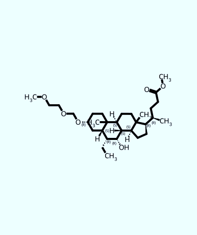 CC[C@H]1[C@@H](O)[C@H]2[C@@H]3CC[C@H]([C@H](C)CCC(=O)OC)C3(C)CC[C@@H]2C2(C)CC[C@@H](OCOCCOC)C[C@@H]12